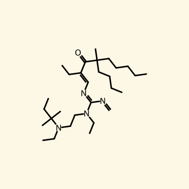 C=N/C(=N\C=C(/CC)C(=O)C(C)(CCCC)CCCCC)N(CC)CCN(CC)C(C)(C)CC